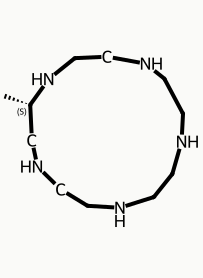 C[C@H]1CNCCNCCNCCNCCN1